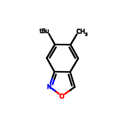 Cc1cc2conc2cc1C(C)(C)C